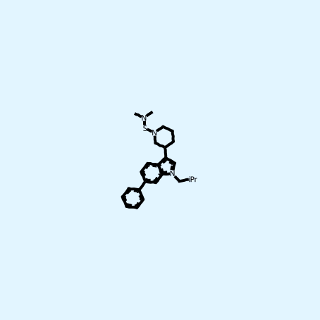 CC(C)Cn1cc(C2CCCN(SN(C)C)C2)c2ccc(-c3ccccc3)cc21